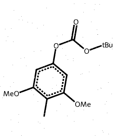 COc1cc(OC(=O)OC(C)(C)C)cc(OC)c1C